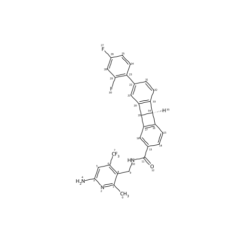 Cc1nc(N)cc(C(F)(F)F)c1CNC(=O)c1ccc2c(c1)C1c3cc(-c4ccc(F)cc4F)ccc3[C@@H]21